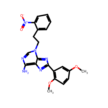 COc1ccc(OC)c(-c2nc3c(N)ncn(CCc4ccccc4[N+](=O)[O-])c-3n2)c1